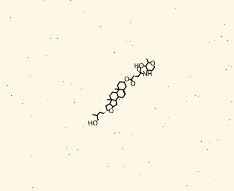 CC(CO)CC[C@@H]1CC2C(CC3C4CC=C5CC(OC(=O)CCC(=O)NC6CCOC(C)C6O)CCC5(C)C4CCC23C)O1